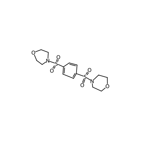 O=S(=O)(c1ccc(S(=O)(=O)N2CCOCC2)cc1)N1CCOCC1